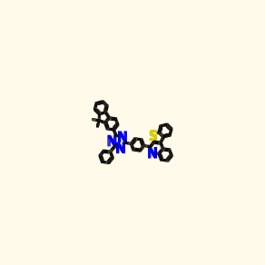 CC1(C)c2ccccc2-c2ccc(-c3nc(-c4ccccc4)nc(-c4ccc(-c5nc6ccccc6c6c5sc5ccccc56)cc4)n3)cc21